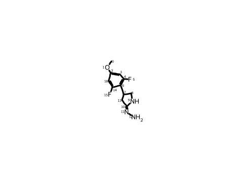 COc1cc(F)c(C2CN/C(=N\N)C2)c(F)c1